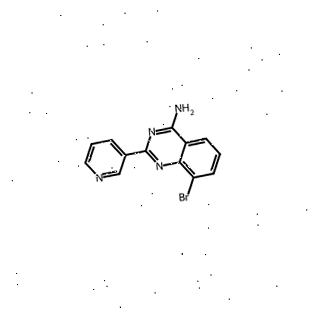 Nc1nc(-c2cccnc2)nc2c(Br)cccc12